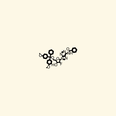 COc1ccc(C(OCC2OC(n3cnc4c(NC(=O)c5ccccc5)ncnc43)C(F)C2O)(c2ccccc2)c2ccc(OC)cc2)cc1